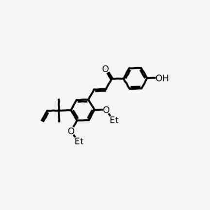 C=CC(C)(C)c1cc(C=CC(=O)c2ccc(O)cc2)c(OCC)cc1OCC